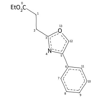 CCOC(=O)CCc1nc(-c2ccccc2)co1